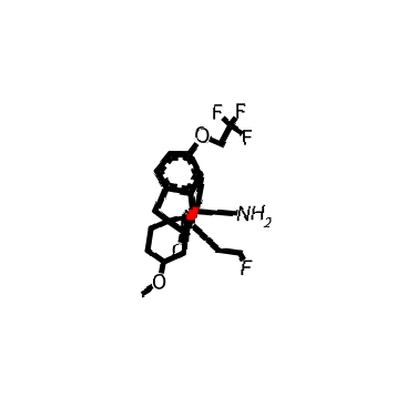 COC1CCC2(CC1)Cc1ccc(OCC(F)(F)F)cc1C21N=C(N)N(CCF)C1=O